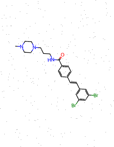 CN1CCN(CCCNC(=O)c2ccc(/C=C/c3cc(Br)cc(Br)c3)cc2)CC1